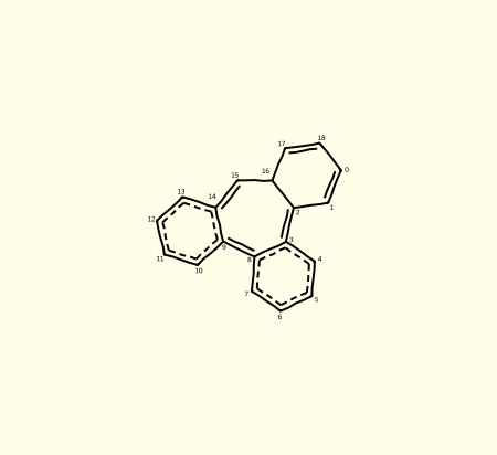 C1=CC2=c3ccccc3=c3ccccc3=CC2C=C1